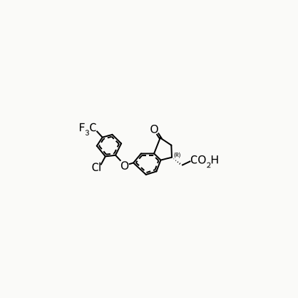 O=C(O)C[C@H]1CC(=O)c2cc(Oc3ccc(C(F)(F)F)cc3Cl)ccc21